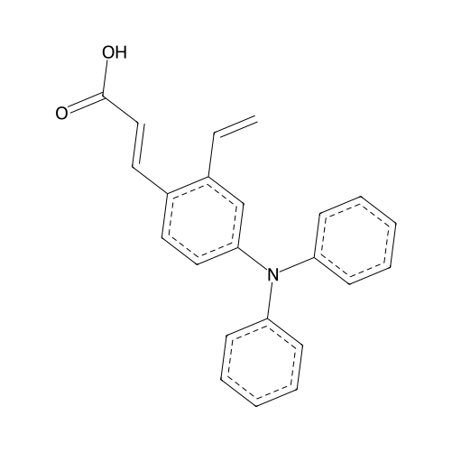 C=Cc1cc(N(c2ccccc2)c2ccccc2)ccc1C=CC(=O)O